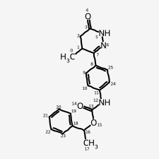 CC1CC(=O)NN=C1c1ccc(NC(=O)OC(C)c2ccccc2)cc1